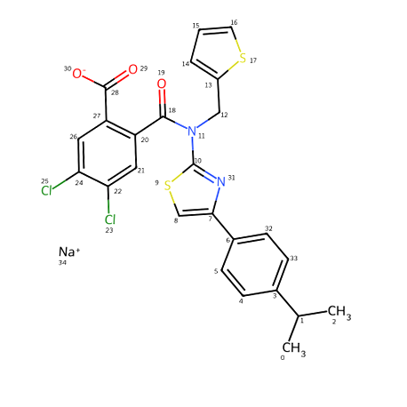 CC(C)c1ccc(-c2csc(N(Cc3cccs3)C(=O)c3cc(Cl)c(Cl)cc3C(=O)[O-])n2)cc1.[Na+]